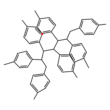 Cc1ccc(CC(c2ccc(C)cc2)C(c2ccc(C)cc2)C(c2ccc(C)cc2)C(c2ccc(C)cc2)C(Cc2ccc(C)cc2)c2ccc(C)cc2)cc1